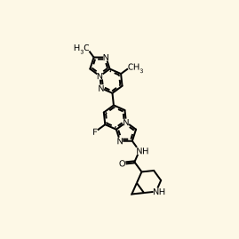 Cc1cn2nc(-c3cc(F)c4nc(NC(=O)C5CCNC6CC65)cn4c3)cc(C)c2n1